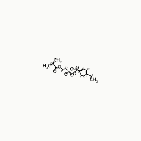 C=Cc1ccc(S(=O)(=O)OS(=O)(=O)CCOC(=O)C(=C)C)cc1